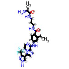 CCc1cc(Nc2nccn3c(-c4c[nH]nc4C(F)(F)F)cnc23)ccc1C(=O)NCCCNC(=O)[C@H](C)N